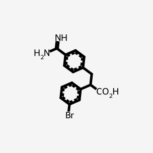 N=C(N)c1ccc(CC(C(=O)O)c2cccc(Br)c2)cc1